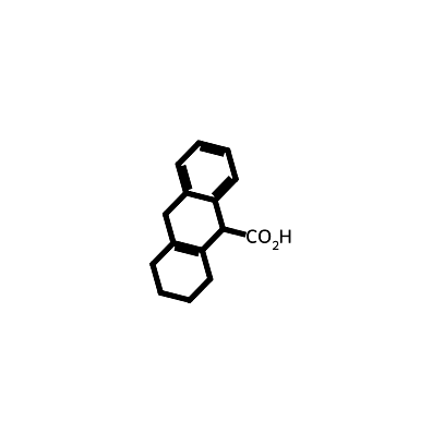 O=C(O)C1C2=C(CCCC2)Cc2ccccc21